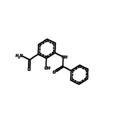 NC(=O)c1cccc(NC(=O)c2ccccc2)c1O